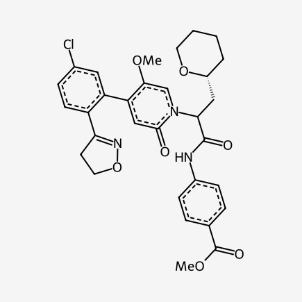 COC(=O)c1ccc(NC(=O)C(C[C@H]2CCCCO2)n2cc(OC)c(-c3cc(Cl)ccc3C3=NOCC3)cc2=O)cc1